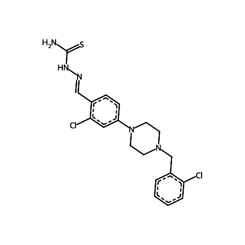 NC(=S)NN=Cc1ccc(N2CCN(Cc3ccccc3Cl)CC2)cc1Cl